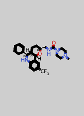 CN1CCN(C(=O)NC[C@H]2CC[C@@H]3[C@H](O2)c2cc(C(F)(F)F)ccc2N[C@H]3C2C=CC=CC2)CC1